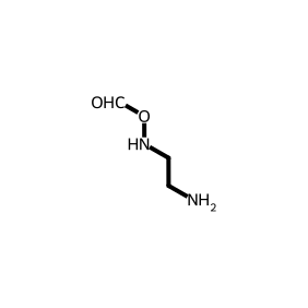 NCCNOC=O